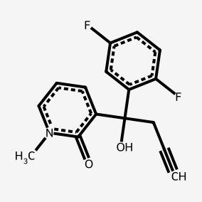 C#CCC(O)(c1cc(F)ccc1F)c1cccn(C)c1=O